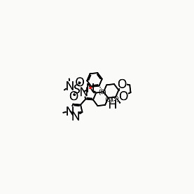 C[C@H]1[C@@H]2CCc3c(nn(S(=O)(=O)N(C)C)c3-c3cnn(C)c3)[C@@]2(c2ccccc2)CCC12OCCO2